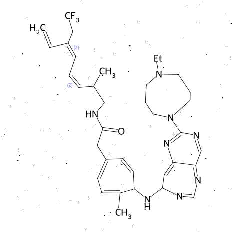 C=C/C(=C\C=C/C(C)CNC(=O)CC1=CC=C(C)C(NC2C=c3nc(N4CCCN(CC)CCC4)ncc3=NC=N2)C=C1)CC(F)(F)F